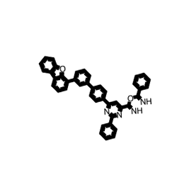 N=C(OC(=N)c1cc(-c2ccc(-c3cccc(-c4cccc5c4oc4ccccc45)c3)cc2)nc(-c2ccccc2)n1)c1ccccc1